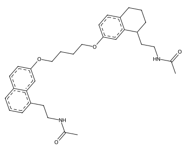 CC(=O)NCCc1cccc2ccc(OCCCCOc3ccc4c(c3)C(CCNC(C)=O)CCC4)cc12